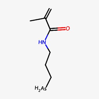 C=C(C)C(=O)NCCC[AsH2]